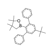 CC(C)(C)c1cc(-c2ccccc2)c(B2CC(C)(C)C(C)(C)O2)c(-c2ccccc2)c1